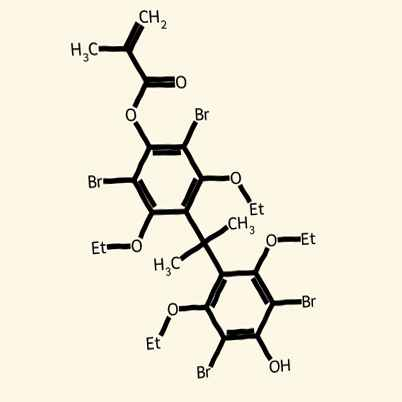 C=C(C)C(=O)Oc1c(Br)c(OCC)c(C(C)(C)c2c(OCC)c(Br)c(O)c(Br)c2OCC)c(OCC)c1Br